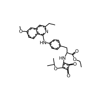 CCOC(=O)C(Cc1ccc(Nc2nc(CC)cc3cc(OC)ccc23)cc1)Nc1c(OC(C)C)c(=O)c1=O